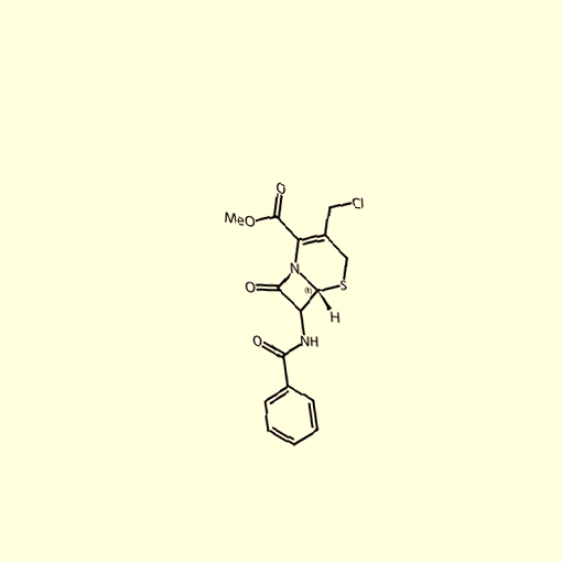 COC(=O)C1=C(CCl)CS[C@@H]2C(NC(=O)c3ccccc3)C(=O)N12